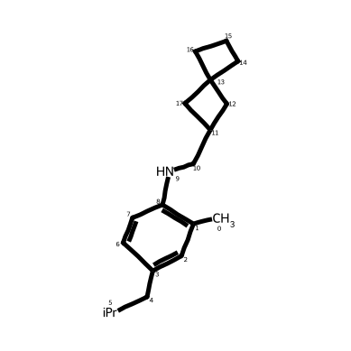 Cc1cc(CC(C)C)ccc1NCC1CC2(CCC2)C1